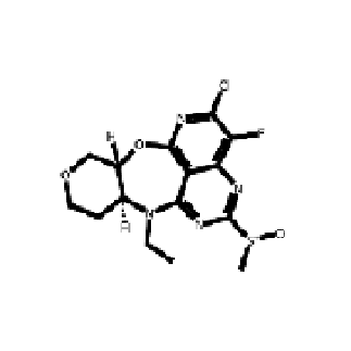 CCN1c2nc([S+](C)[O-])nc3c(F)c(Cl)nc(c23)O[C@H]2COCC[C@@H]21